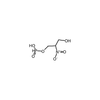 O=[N+]([O-])C(CO)CO[PH](=O)O